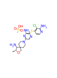 CS(=O)(=O)O.C[C@@H]1OCC2(CCN(c3cnc(Sc4ccnc(N)c4Cl)c(N)n3)CC2)[C@@H]1N